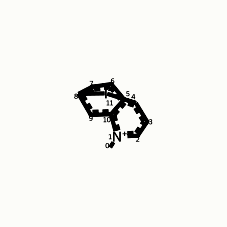 C[n+]1ccc2c3ccc(cc31)[I-]2